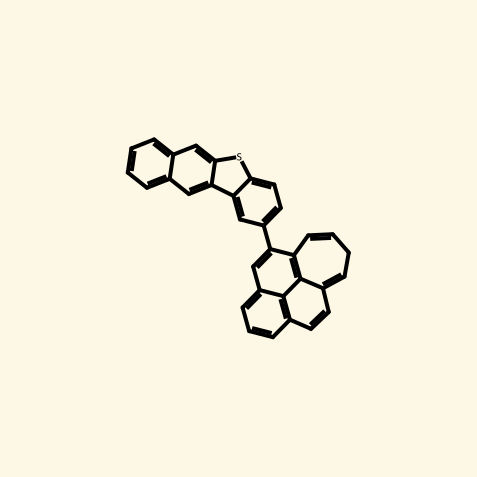 C1=Cc2c(-c3ccc4sc5cc6ccccc6cc5c4c3)cc3cccc4ccc(c2c43)=CC1